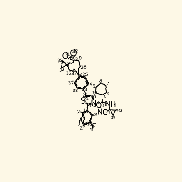 N#CC1(NC(=O)[C@@H]2CCCC[C@H]2c2nc(-c3cncc(F)c3)sc2-c2ccc(N3CCS(=O)(=O)C4(CC4)C3)cc2)CC1